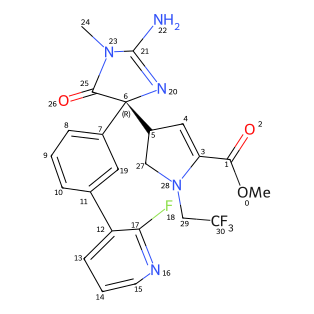 COC(=O)C1=CC([C@]2(c3cccc(-c4cccnc4F)c3)N=C(N)N(C)C2=O)CN1CC(F)(F)F